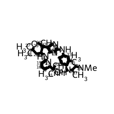 CCCN(c1ccc(Nc2ncc3c(n2)N(c2cccc(C(C)(C)O)n2)[C@H]2CC(C)(C)OC[C@@]32C)cc1C)[C@@H](C)CNC